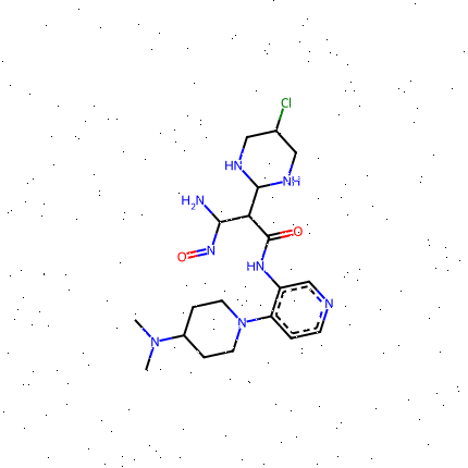 CN(C)C1CCN(c2ccncc2NC(=O)C(C(N)N=O)C2NCC(Cl)CN2)CC1